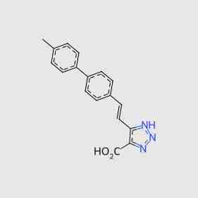 Cc1ccc(-c2ccc(C=Cc3[nH]nnc3C(=O)O)cc2)cc1